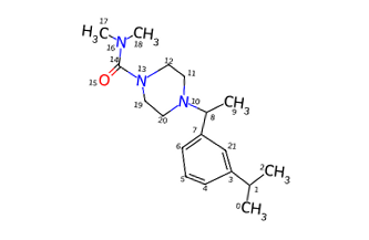 CC(C)c1cccc(C(C)N2CCN(C(=O)N(C)C)CC2)c1